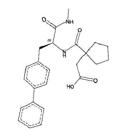 CNC(=O)[C@H](Cc1ccc(-c2ccccc2)cc1)NC(=O)C1(CC(=O)O)CCCC1